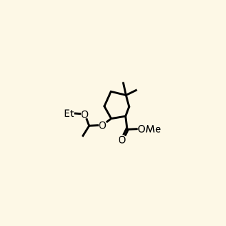 CCOC(C)OC1CCC(C)(C)CC1C(=O)OC